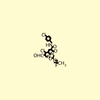 CC1(F)CN(C(=O)Cn2c(=O)c(C(=O)NCc3ccc(Cl)cc3)cc3c(Cl)c(C=O)cnc32)C1